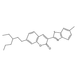 CCCC(CC)CCc1ccc2cc(-c3nc4ccc(C)cc4s3)c(=O)oc2c1